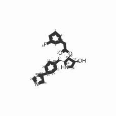 O=C(Cc1cccc(F)c1)O[C@@H]1[C@@H](O)CN[C@@H]1Cc1ccc(-c2cncs2)cc1